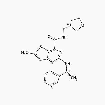 Cc1cc2nc(N[C@@H](C)c3cccnc3)nc(C(=O)NC[C@@H]3CCOC3)c2s1